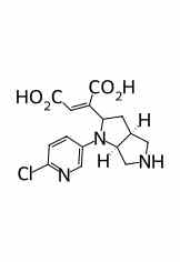 O=C(O)C=C(C(=O)O)C1C[C@H]2CNC[C@H]2N1c1ccc(Cl)nc1